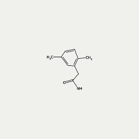 Cc1ccc(C)c(CC([NH])=O)c1